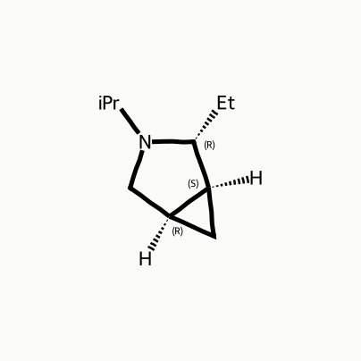 CC[C@@H]1[C@H]2C[C@H]2CN1C(C)C